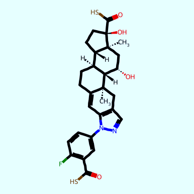 C[C@]12Cc3cnn(-c4ccc(F)c(C(=O)S)c4)c3C=C1CC[C@@H]1[C@@H]2[C@@H](O)C[C@@]2(C)[C@H]1CC[C@]2(O)C(=O)S